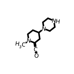 CN1CCC(N2CCNCC2)CC1=C=O